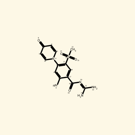 CCCc1cc(-n2ccc(=O)cc2)c(S(C)(=O)=O)cc1C(=O)N=C(N)N